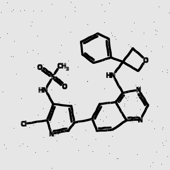 CS(=O)(=O)Nc1cc(-c2ccc3ncnc(NC4(c5ccccc5)COC4)c3c2)cnc1Cl